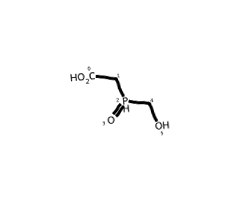 O=C(O)C[PH](=O)CO